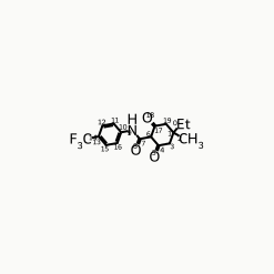 CCC1(C)CC(=O)C(C(=O)Nc2ccc(C(F)(F)F)cc2)C(=O)C1